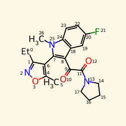 CCc1noc(C)c1-c1c(C(=O)C(=O)N2CCCC2)c2cc(F)ccc2n1C